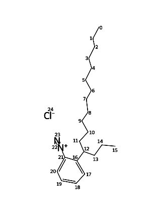 CCCCCCCCCCCCC(CCC)c1ccccc1[N+]#N.[Cl-]